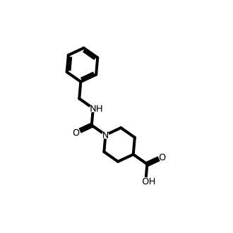 O=C(O)C1CCN(C(=O)NCc2ccccc2)CC1